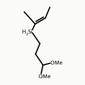 CC=C(C)[SiH2]CCC(OC)OC